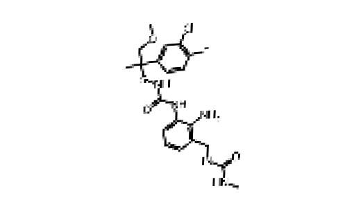 CNC(=O)NCc1cccc(NC(=O)NSC(C)(COC)c2ccc(F)c(Cl)c2)c1N